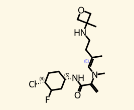 C=C(C(=O)N[C@H]1CC[C@@H](Cl)C(F)C1)N(C)/C=C(\C)CCNC1(C)COC1